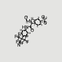 CS(=O)(=O)c1ccc2c(c1)CN(C=O)C2C(=O)Nc1ccc(C(C#N)(C(F)(F)F)C(F)(F)F)cc1